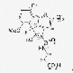 COc1ccc(Cl)cc1[C@]1(F)C(=O)N(C(=O)NCCC(=O)O)c2cc(C(F)(F)F)ccc21